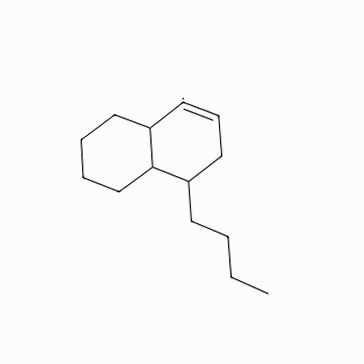 CCCCC1CC=[C]C2CCCCC21